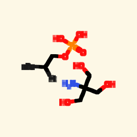 CCCCC(CC)COP(=O)(O)O.NC(CO)(CO)CO